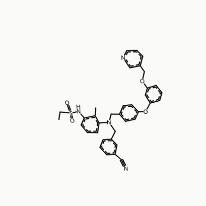 CCS(=O)(=O)Nc1cccc(N(Cc2ccc(Oc3cccc(OCc4cccnc4)c3)cc2)Cc2cccc(C#N)c2)c1C